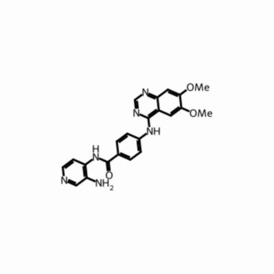 COc1cc2ncnc(Nc3ccc(C(=O)Nc4ccncc4N)cc3)c2cc1OC